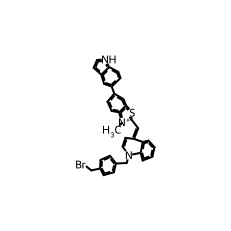 C[n+]1c(C=C2C=CN(Cc3ccc(CBr)cc3)c3ccccc32)sc2cc(-c3ccc4[nH]ccc4c3)ccc21